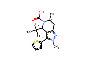 C[C@H]1Cc2nn(C)c(-c3cccs3)c2C(C(C)(C)C)N1C(=O)O